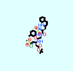 Cc1ccc(S(=O)(=O)N[C@@H](Cc2ccc3ccccc3n2)C(=O)NCC(=O)N[C@H](/C=C(\Cl)S(C)(=O)=O)CC(=O)OC(C)(C)C)cc1